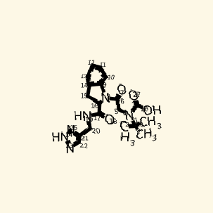 CC(C)(C)N(CC(=O)N1c2ccccc2CC1C(=O)NCc1cn[nH]n1)C(=O)O